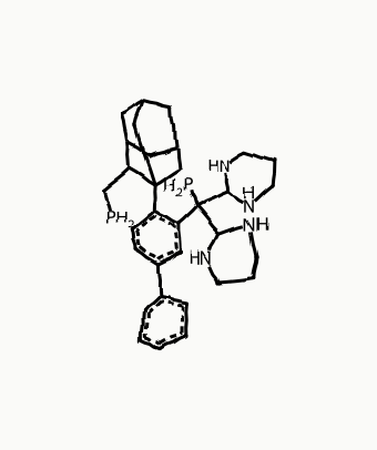 PCC1C2CC3CC(C2)CC1(c1ccc(-c2ccccc2)cc1C(P)(C1NCCCN1)C1NCCCN1)C3